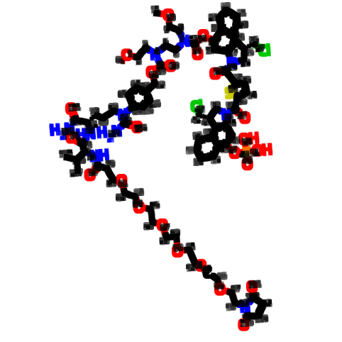 COCCN(CCN(CCOC)C(=O)Oc1cc2c(c3ccccc13)[C@H](CCl)CN2C(=O)c1ccc(C(=O)N2C[C@@H](CCl)c3c2cc(OP(=O)(O)O)c2ccccc32)s1)C(=O)OCc1ccc(N(CCC[C@H](NC(=O)[C@@H](NC(=O)CCOCCOCCOCCOCCOCCOCCN2C(=O)C=CC2=O)C(C)C)C(N)=O)C(N)=O)cc1